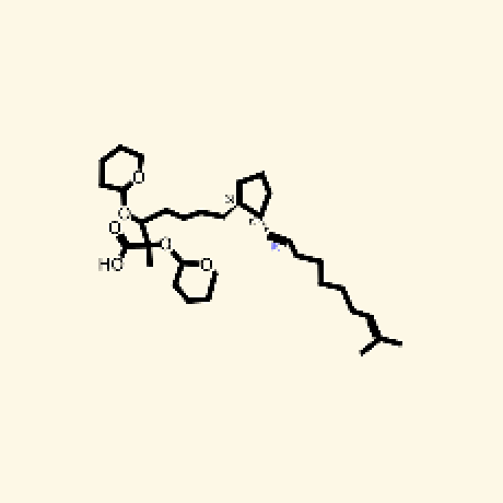 CC(C)=CCCCCC/C=C/[C@H]1CCC[C@@H]1CCCCC(OC1CCCCO1)C(C)(OC1CCCCO1)C(=O)O